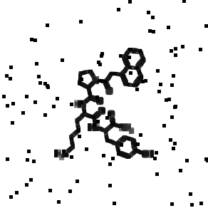 NCCCCC(NC(=O)C1CCCN1C(=O)Cc1cccc2ccccc12)C(=O)NC(Cc1ccc(O)cc1)C(N)=O